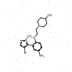 Cn1ncc(Br)c1-c1cc(N)ccc1OCCN1CCC(O)CC1